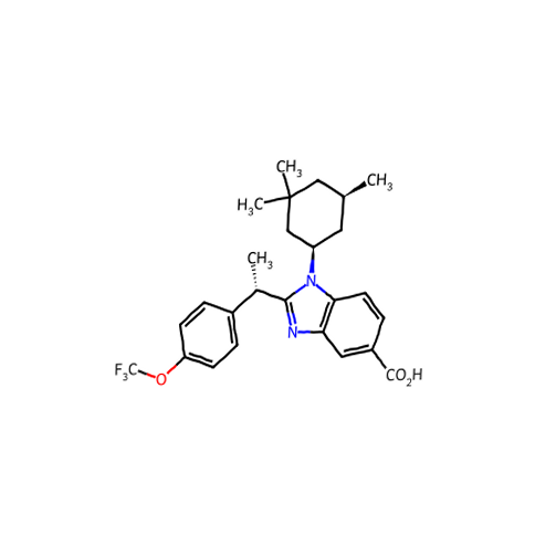 C[C@H]1C[C@@H](n2c([C@@H](C)c3ccc(OC(F)(F)F)cc3)nc3cc(C(=O)O)ccc32)CC(C)(C)C1